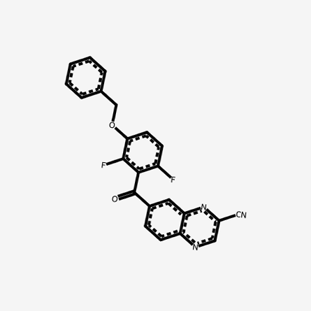 N#Cc1cnc2ccc(C(=O)c3c(F)ccc(OCc4ccccc4)c3F)cc2n1